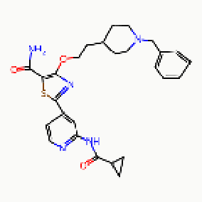 NC(=O)c1sc(-c2ccnc(NC(=O)C3CC3)c2)nc1OCCC1CCN(Cc2ccccc2)CC1